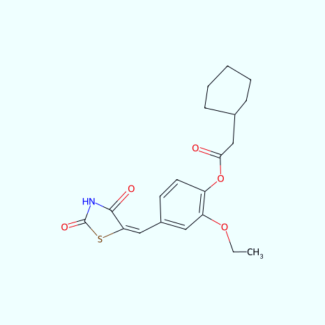 CCOc1cc(C=C2SC(=O)NC2=O)ccc1OC(=O)CC1CCCCC1